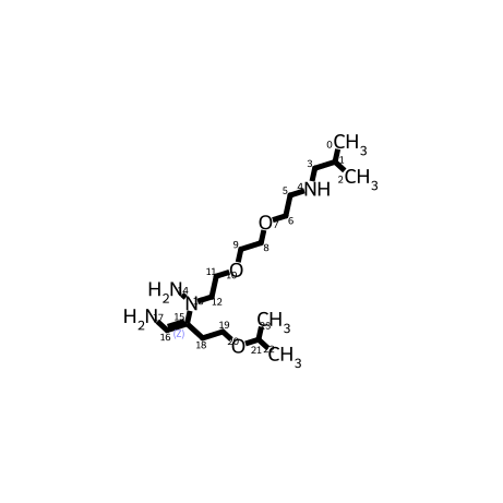 CC(C)CNCCOCCOCCN(N)/C(=C\N)CCOC(C)C